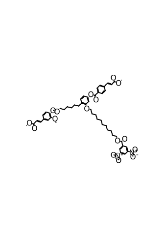 COC(=O)C=Cc1ccc(C(=O)Oc2ccc(CCCCCCOOc3ccc(C=CC(=O)OC)cc3OC)c(OCCCCCCCCCCCOC(=O)c3cc([N+](=O)[O-])cc([N+](=O)[O-])c3)c2)cc1